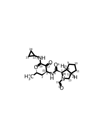 CCC[C@H](NC(=O)[C@H]1[C@H]2CCC[C@H]2CN1C=O)C(=O)C(=O)NC1CC1